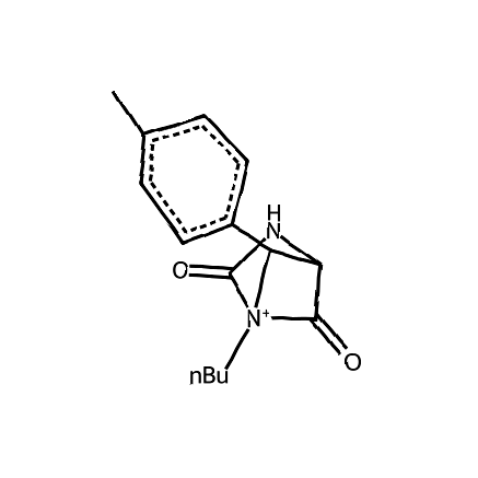 CCCC[N+]12C(=O)NC(C1=O)C2c1ccc(C)cc1